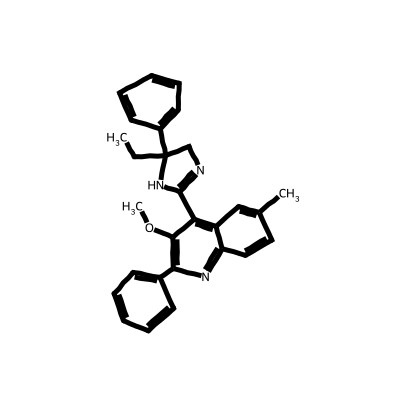 CCC1(c2ccccc2)CN=C(c2c(OC)c(-c3ccccc3)nc3ccc(C)cc23)N1